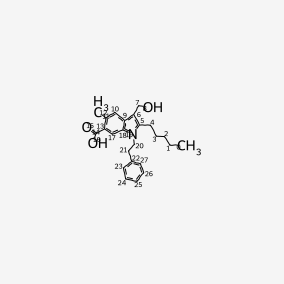 CCCCCc1c(CO)c2cc(C)c(C(=O)O)cc2n1CCc1ccccc1